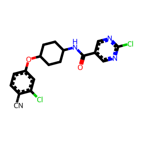 N#Cc1ccc(OC2CCC(NC(=O)c3cnc(Cl)nc3)CC2)cc1Cl